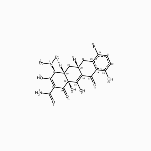 CCN(CC)[C@@H]1C(O)=C(C(N)=O)C(=O)[C@@]2(O)C(O)=C3C(=O)c4c(O)ccc(F)c4C[C@H]3C[C@@H]12